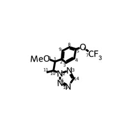 COC(c1ccc(OC(F)(F)F)cc1)C(C)n1ncnn1